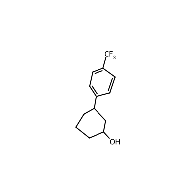 OC1CCCC(c2ccc(C(F)(F)F)cc2)C1